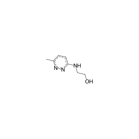 Cc1ccc(NCCO)nn1